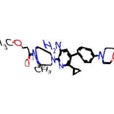 COCCC(=O)N1CCN(c2nc(C3CC3)c(-c3ccc(N4CCOCC4)cc3)cc2N)C[C@H]1C